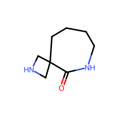 O=C1NCCCCC12CNC2